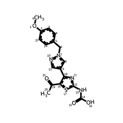 COc1ccc(Cn2cc(-c3nc(NC(=O)O)sc3C(C)=O)cn2)cc1